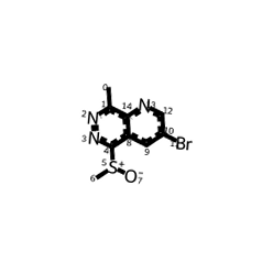 Cc1nnc([S+](C)[O-])c2cc(Br)cnc12